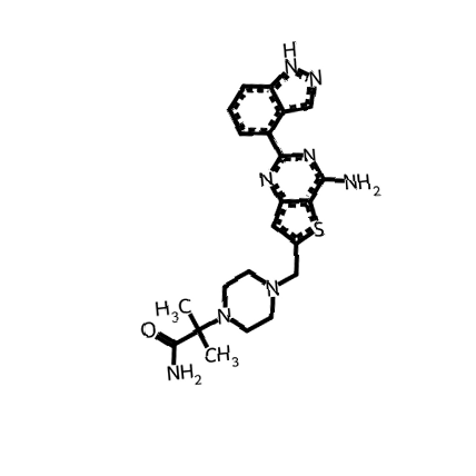 CC(C)(C(N)=O)N1CCN(Cc2cc3nc(-c4cccc5[nH]ncc45)nc(N)c3s2)CC1